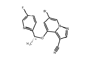 C[C@@H](Oc1cc(Br)cn2ncc(C#N)c12)c1ccc(F)cn1